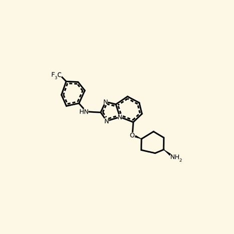 N[C@H]1CC[C@@H](Oc2cccc3nc(Nc4ccc(C(F)(F)F)cc4)nn23)CC1